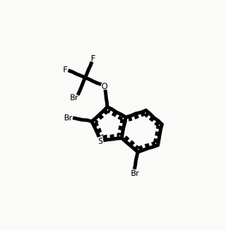 FC(F)(Br)Oc1c(Br)sc2c(Br)cccc12